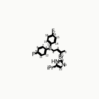 CC(Br)=CCB(c1ccc(F)cc1)c1ccc(F)cc1.CC(C)c1cnc[nH]1